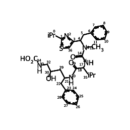 CC(C)c1nc(C(Cc2ccccc2)N(C)C(=O)NC(C(=O)NC(Cc2ccccc2)CC(O)CNC(=O)O)C(C)C)cs1